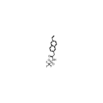 C=Cc1ccc2cc(CC(=O)NS(=O)(=O)C(F)(F)F)ccc2c1